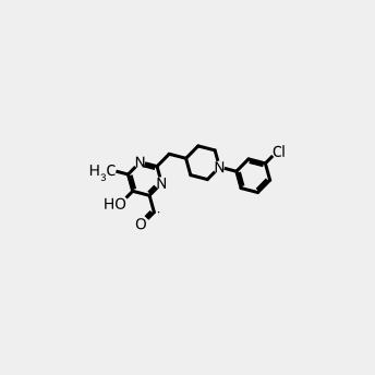 Cc1nc(CC2CCN(c3cccc(Cl)c3)CC2)nc([C]=O)c1O